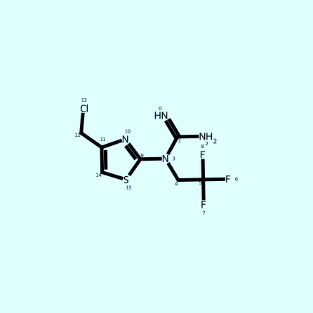 N=C(N)N(CC(F)(F)F)c1nc(CCl)cs1